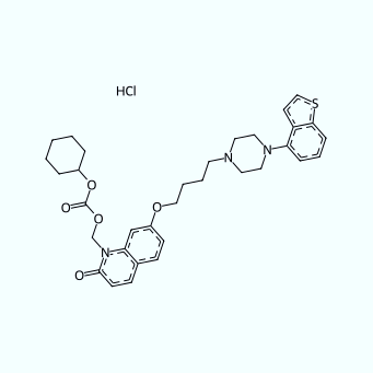 Cl.O=C(OCn1c(=O)ccc2ccc(OCCCCN3CCN(c4cccc5sccc45)CC3)cc21)OC1CCCCC1